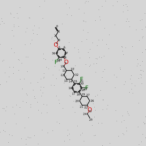 C=CCCOc1ccc(OCC2CCC(c3ccc(C4CCC(OCC)CC4)c(F)c3F)CC2)c(F)c1